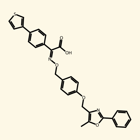 Cc1oc(-c2ccccc2)nc1COc1ccc(CON=C(C(=O)O)c2ccc(-c3ccsc3)cc2)cc1